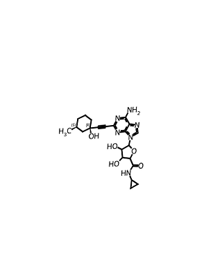 C[C@H]1CCC[C@](O)(C#Cc2nc(N)c3ncn(C4OC(C(=O)NC5CC5)C(O)C4O)c3n2)C1